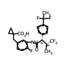 C[C@H]([C@H](C(=O)Nc1cc(CC2(C(=O)O)CC2)ccc1F)c1ccc(C(C)(F)F)cc1)C(F)(F)F